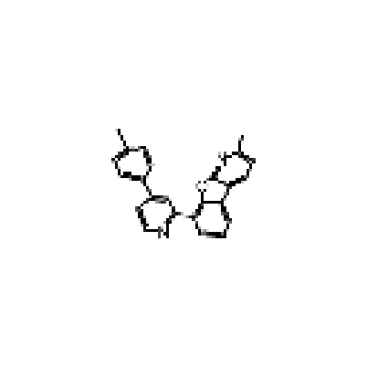 Cc1ccc(-c2ccnc(-c3cccc4c3oc3nc(C)ccc34)c2)cc1